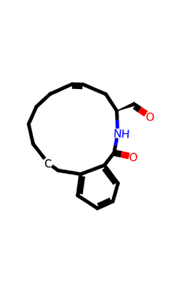 O=C[C@@H]1C/C=C\CCCCCCc2ccccc2C(=O)N1